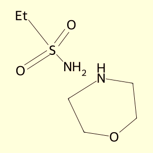 C1COCCN1.CCS(N)(=O)=O